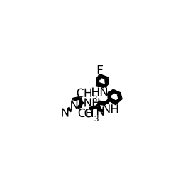 CC1CN(C#N)C(C)[C@@H]1NC(=O)c1cc(-c2ccccc2Nc2ccc(F)cc2)[nH]n1